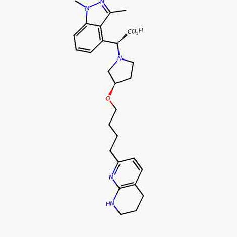 Cc1nn(C)c2cccc([C@@H](C(=O)O)N3CC[C@@H](OCCCCc4ccc5c(n4)NCCC5)C3)c12